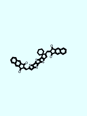 O=C1C(=CC2=Cc3sc4c(sc5c6sc(C=C7C(=O)c8cc9ccccc9cc8C7=O)cc6sc45)c3C23CCCCC3)C(=O)c2cc3ccccc3cc21